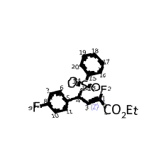 CCOC(=O)/C(F)=C/C(c1ccc(F)cc1)S(=O)(=O)c1ccccc1